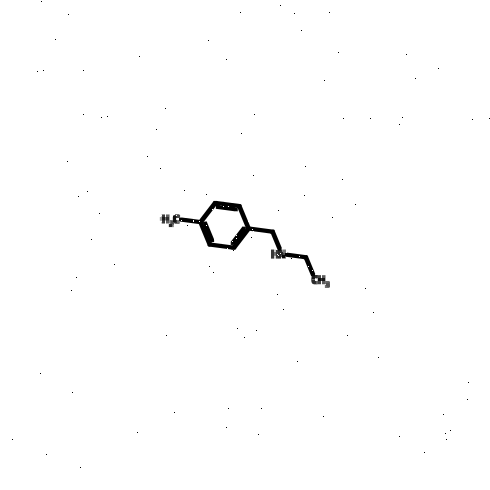 [CH2]c1ccc(CNCC)cc1